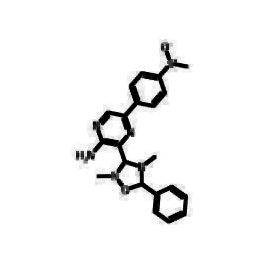 CN1OC(c2ccccc2)N(C)C1c1nc(-c2ccc([S+](C)[O-])cc2)cnc1N